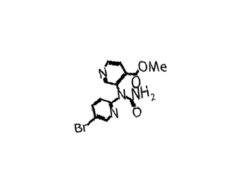 COC(=O)c1ccncc1N(C(N)=O)c1ccc(Br)cn1